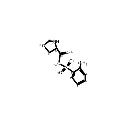 Cc1ccccc1S(=O)(=O)OC(=O)C1COCN1